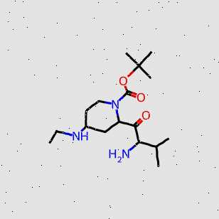 CCNC1CCN(C(=O)OC(C)(C)C)C(C(=O)C(N)C(C)C)C1